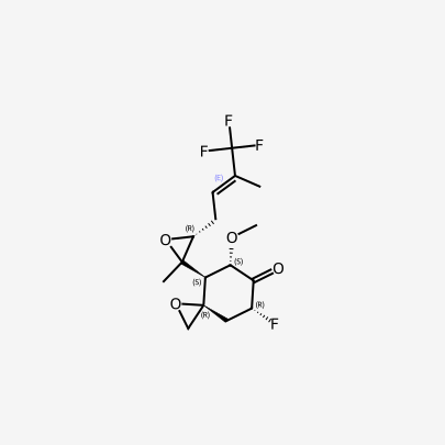 CO[C@@H]1C(=O)[C@H](F)C[C@]2(CO2)[C@H]1C1(C)O[C@@H]1C/C=C(\C)C(F)(F)F